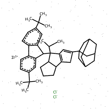 CC(C)C1(C2c3cc(C(C)(C)C)ccc3-c3ccc(C(C)(C)C)cc32)C2=C(CC(C34CC5CC(CC(C5)C3)C4)=C2)C2CCCC21.[Cl-].[Cl-].[Zr+2]